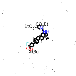 C=C(C)[C@@H]1CC[C@]2(NCCN3CCC(C(=O)OCC)(C(=O)OCC)CC3)CC[C@]3(C)[C@H](CC[C@@H]4[C@@]5(C)CC=C(C6=CCC(CF)(C(=O)O[Si](C)(C)C(C)(C)C)CC6)C(C)(C)[C@@H]5CC[C@]43C)[C@@H]12